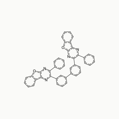 c1ccc(-c2nc3oc4ccccc4c3nc2-c2cccc(-c3cccc(-c4nc5oc6ccccc6c5nc4-c4ccccc4)c3)c2)cc1